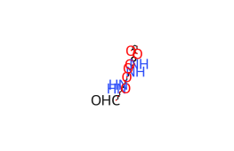 O=CCCCCCNC(=O)NCCCOCCNC(=O)CC(=O)Nc1ccc(CC(=O)C2CCCCC2=O)cc1